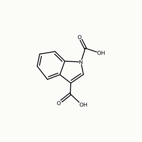 O=C(O)c1cn(C(=O)O)c2ccccc12